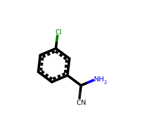 N#CC(N)c1cccc(Cl)c1